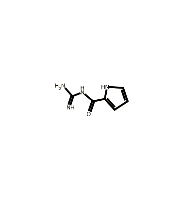 N=C(N)NC(=O)c1ccc[nH]1